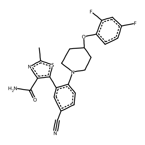 Cc1nc(C(N)=O)c(-c2cc(C#N)ccc2N2CCC(Oc3ccc(F)cc3F)CC2)s1